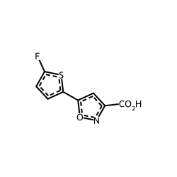 O=C(O)c1cc(-c2ccc(F)s2)on1